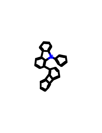 c1ccc(-n2c3ccccc3c3cccc(-c4cccc5c4-c4ccccc4-5)c32)cc1